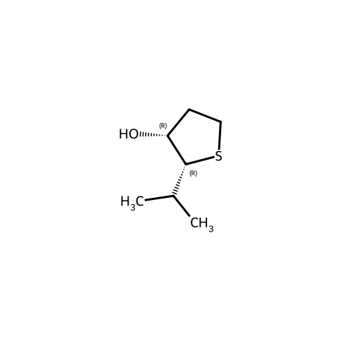 CC(C)[C@H]1SCC[C@H]1O